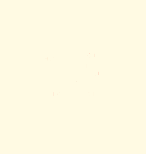 OB(O)c1cccc(S)c1.OCCO